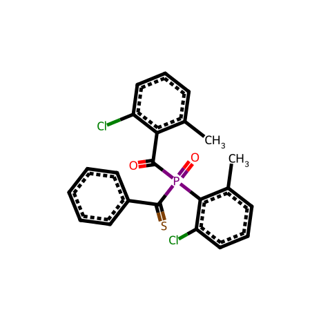 Cc1cccc(Cl)c1C(=O)P(=O)(C(=S)c1ccccc1)c1c(C)cccc1Cl